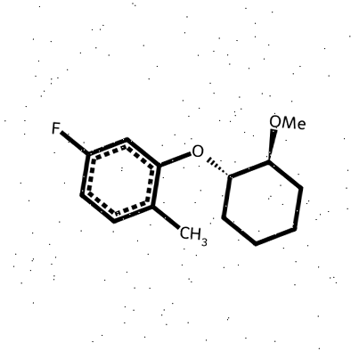 CO[C@H]1CCCC[C@@H]1Oc1cc(F)ccc1C